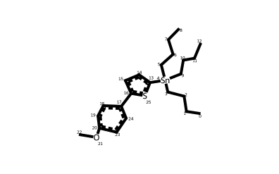 CCC[CH2][Sn]([CH2]CCC)([CH2]CCC)[c]1ccc(-c2ccc(OC)cc2)s1